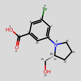 O=C(O)c1cc(Br)cc(N2CCC[C@@H]2CO)c1